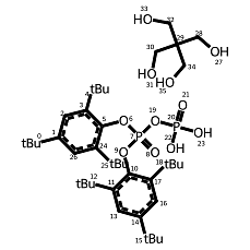 CC(C)(C)c1cc(C(C)(C)C)c(OP(=O)(Oc2c(C(C)(C)C)cc(C(C)(C)C)cc2C(C)(C)C)OP(=O)(O)O)c(C(C)(C)C)c1.OCC(CO)(CO)CO